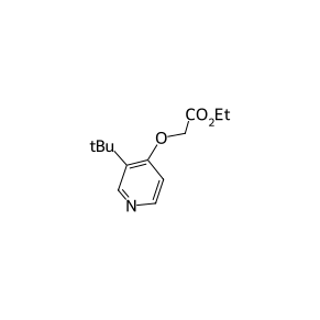 CCOC(=O)COc1ccncc1C(C)(C)C